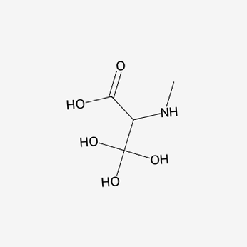 CNC(C(=O)O)C(O)(O)O